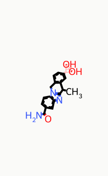 CC1c2cc(B(O)O)ccc2Cn2c1nc1cc(C(N)=O)ccc12